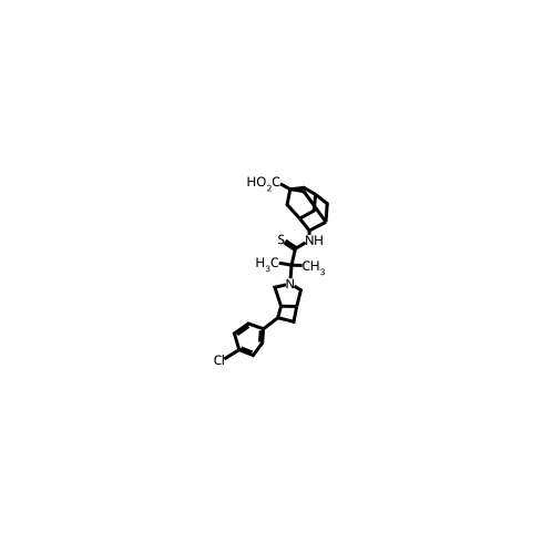 CC(C)(C(=S)NC1C2CC3CC1CC(C(=O)O)(C3)C2)N1CC2CC(c3ccc(Cl)cc3)C2C1